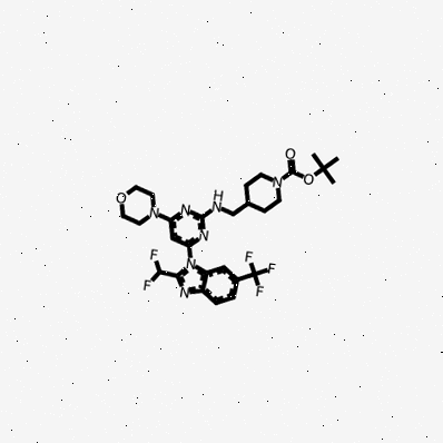 CC(C)(C)OC(=O)N1CCC(CNc2nc(N3CCOCC3)cc(-n3c(C(F)F)nc4ccc(C(F)(F)F)cc43)n2)CC1